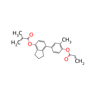 C=CC(=O)Oc1ccc(-c2ccc(OC(=O)C(=C)C)c3c2CCC3)cc1C